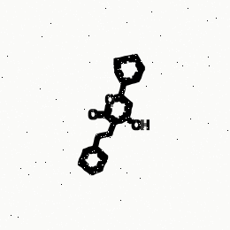 O=c1oc(-c2ccccc2)cc(O)c1CCc1ccccc1